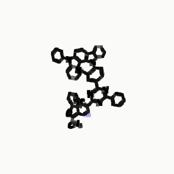 C=C(/C=C\c1c(C)oc2ccccc12)c1nc(-c2ccccc2)nc(-c2ccc(-n3c4ccccc4c4ccc5c(c6ccccc6n5-c5ccccc5)c43)c(C#N)c2)n1